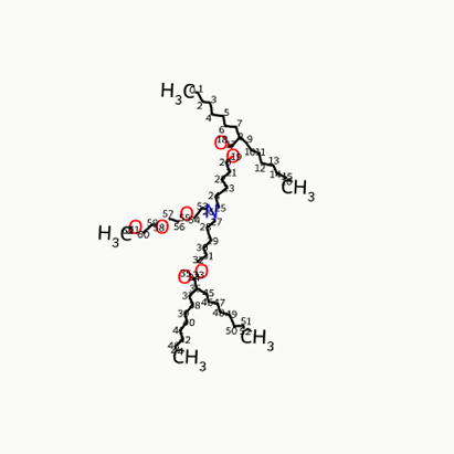 CCCCCCCCC(CCCCCCCC)C(=O)OCCCCCCN(CCCCCCOC(=O)C(CCCCCCCC)CCCCCCCC)CCOCCOCCOC